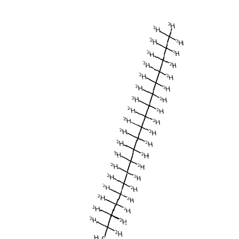 [2H]C([2H])([2H])C([2H])([2H])C([2H])([2H])C([2H])([2H])C([2H])([2H])C([2H])([2H])C([2H])([2H])C([2H])([2H])C([2H])([2H])C([2H])([2H])C([2H])([2H])C([2H])([2H])C([2H])([2H])C([2H])([2H])C([2H])([2H])C([2H])([2H])C([2H])([2H])C([2H])([2H])C